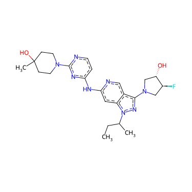 CCC(C)n1nc(N2C[C@H](O)[C@@H](F)C2)c2cnc(Nc3ccnc(N4CCC(C)(O)CC4)n3)cc21